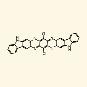 Clc1c2c(c(Cl)c3c1=Nc1cc4c(cc1O3)[nH]c1ccccc14)=Nc1cc3c(cc1O2)[nH]c1ccccc13